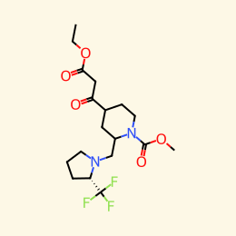 CCOC(=O)CC(=O)C1CCN(C(=O)OC)C(CN2CCC[C@H]2C(F)(F)F)C1